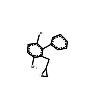 Nc1ccc(O)c(-c2ccccc2)c1CC1CO1